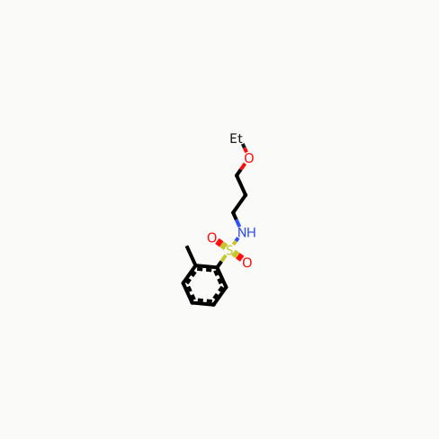 CCOCCCNS(=O)(=O)c1ccccc1C